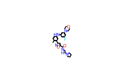 Cc1ccc(Nc2cc(F)cc(N3CCOCC3)c2)cc1-c1cc(C(=O)NCCN2CCCC2)on1